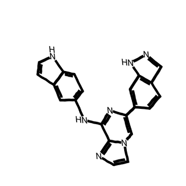 c1cn2cc(-c3ccc4cn[nH]c4c3)nc(Nc3ccc4[nH]ccc4c3)c2n1